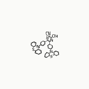 N#Cc1nc(-c2ccc(N3c4ccccc4Sc4ccccc43)cc2)c(-c2ccc(N3c4ccccc4Sc4ccccc43)cc2)nc1C#N